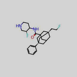 O=C(NC1CCNC[C@@H]1F)C12CC3C[C@@](CCF)(C1)C[C@](c1ccccc1)(C3)C2